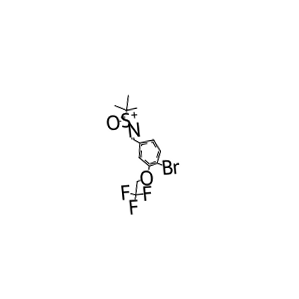 CC(C)(C)[S+]([O-])N=Cc1ccc(Br)c(OCC(F)(F)F)c1